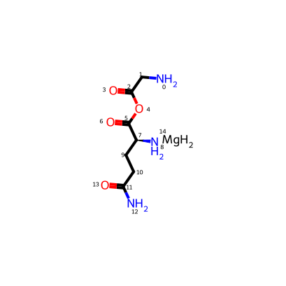 NCC(=O)OC(=O)[C@@H](N)CCC(N)=O.[MgH2]